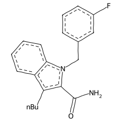 CCCCc1c(C(N)=O)n(Cc2cccc(F)c2)c2ccccc12